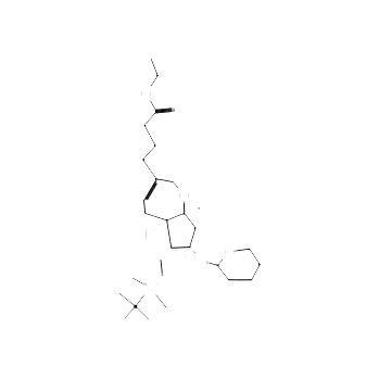 CCOC(=O)CCCC1=CC[C@@H]2[C@@H](CO[Si](C)(C)C(C)(C)C)[C@H](OC3CCCCO3)C[C@@H]2OC1